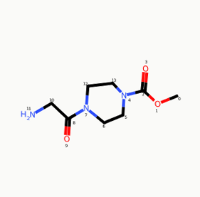 COC(=O)N1CCN(C(=O)CN)CC1